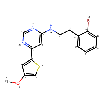 CCOc1csc(-c2cc(NCCc3ccccc3Br)ncn2)c1